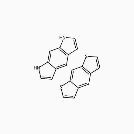 c1cc2cc3cc[nH]c3cc2[nH]1.c1cc2cc3ccsc3cc2s1